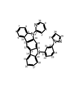 c1ccc(-n2c3ccccc3c3cc4c5ccccc5n(-c5cccc(-n6cccn6)c5)c4cc32)nc1